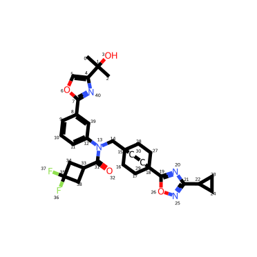 CC(C)(O)c1coc(-c2cccc(N(CC34CCC(c5nc(C6CC6)no5)(CC3)CC4)C(=O)C3CC(F)(F)C3)c2)n1